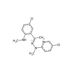 CNc1ccc(Cl)cc1/C(C)=N/N(C)c1ccc(Cl)cn1